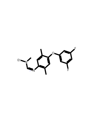 CCN(C)/C=N\c1cc(C)c(Oc2cc(F)cc(F)c2)cc1C